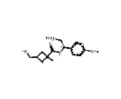 CCOC(=O)C[C@H](NC(=O)C1(C)CC(CO)C1)c1ccc(OC)nc1